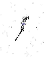 CCCCCCCCCCCCOc1ccc(/C(CC)=C(\CC)c2ccc(O)cc2)cc1